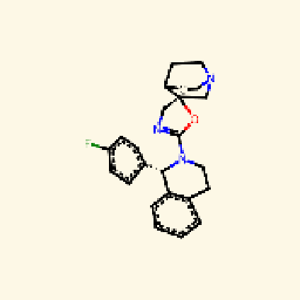 Fc1ccc([C@H]2c3ccccc3CCN2C2=NC[C@@]3(CN4CCC3CC4)O2)cc1